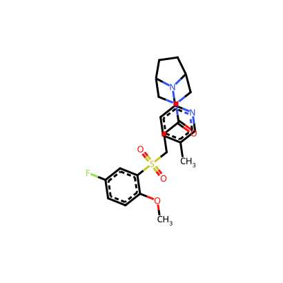 COc1ccc(F)cc1S(=O)(=O)CCC(=O)N1CC2CCC(C1)N2c1ccc(C)cn1